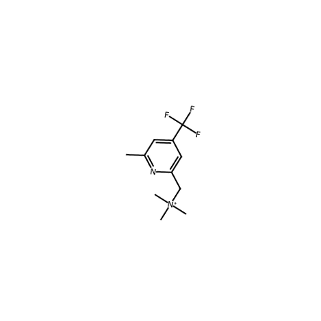 Cc1cc(C(F)(F)F)cc(C[N+](C)(C)C)n1